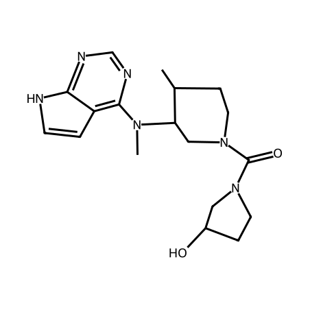 CC1CCN(C(=O)N2CCC(O)C2)CC1N(C)c1ncnc2[nH]ccc12